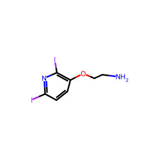 NCCOc1ccc(I)nc1I